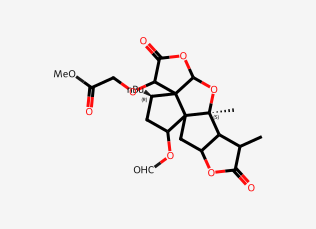 CCCC[C@@H]1CC(OC=O)C23CC4OC(=O)C(C)C4[C@]2(C)OC2OC(=O)C(OCC(=O)OC)C213